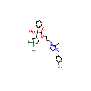 Cc1n(CCCOC(=O)[C@](O)(c2ccccc2)[C@@H]2CCC(F)(F)C2)cc[n+]1Cc1ccc(C(F)(F)F)cc1.[Cl-]